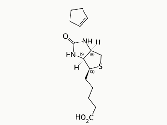 C1=CCCC1.O=C(O)CCCC[C@@H]1SC[C@@H]2NC(=O)N[C@@H]21